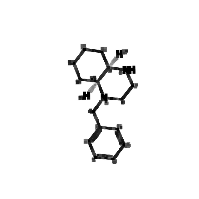 c1ccc(CN2CCN[C@@H]3CCCC[C@@H]32)cc1